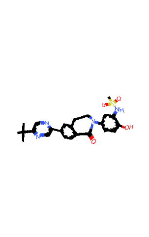 CC(C)(C)c1cnc(-c2ccc3c(c2)CCN(c2ccc(O)c(NS(C)(=O)=O)c2)C3=O)cn1